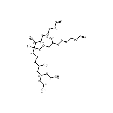 C=COCOCCC(O)COCC(CC)(COCC(O)CN(CCO)CCO)C(O)CCOCOC=C